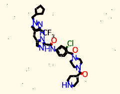 O=C(Nc1ccc(C(=O)N2CCN(C(=O)C3CCNCC3)CC2)c(Cl)c1)c1ncc(Cc2cn(CC3CCCC3)nc2C(F)(F)F)[nH]1